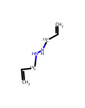 C=C[13CH]NN[13CH2]C=C